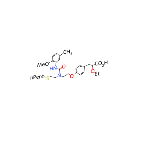 CCCCCSCCN(CCOc1ccc(CC(OCC)C(=O)O)cc1)C(=O)Nc1cc(C)ccc1OC